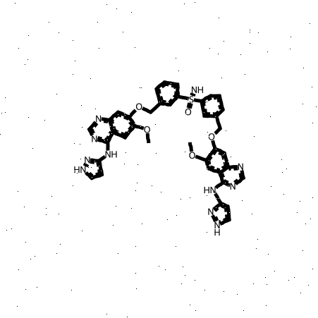 COc1cc2c(Nc3cc[nH]n3)ncnc2cc1OCc1cccc(S(=N)(=O)c2cccc(COc3cc4ncnc(Nc5cc[nH]n5)c4cc3OC)c2)c1